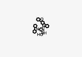 OBc1cc(-n2c3ccccc3c3ccccc32)cc(-n2c3ccccc3c3cc4oc5ccccc5c4cc32)n1